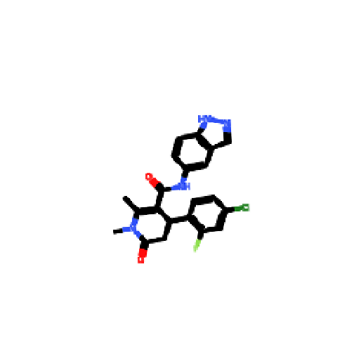 CC1=C(C(=O)Nc2ccc3[nH]ncc3c2)C(c2ccc(Cl)cc2F)CC(=O)N1C